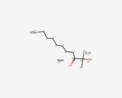 CCCCCCCCCCCCCCCCCC(=O)C(C)(O)C(=O)O.[NaH]